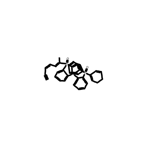 C#C/C=C\C=C(/C)P(=O)(c1ccccc1)c1ccccc1Oc1ccccc1P(=O)(C1=CCCC=C1)c1ccccc1